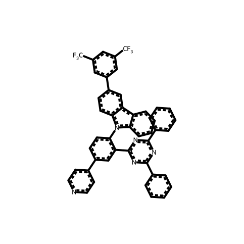 FC(F)(F)c1cc(-c2ccc3c(c2)c2ccccc2n3-c2ccc(-c3ccncc3)cc2-c2nc(-c3ccccc3)nc(-c3ccccc3)n2)cc(C(F)(F)F)c1